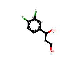 OCCC(O)c1ccc(F)c(Br)c1